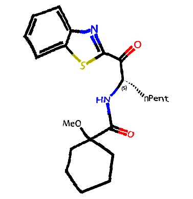 CCCCC[C@H](NC(=O)C1(OC)CCCCC1)C(=O)c1nc2ccccc2s1